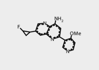 COc1ccncc1-c1cc(N)c2ncc(C3CC3F)cc2n1